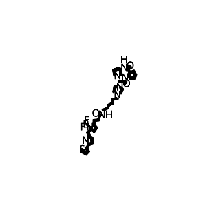 O=C(CCc1ccc(/C=C2\C=CC(c3cccs3)=N2)n1B(F)F)NCCCCCCN1CCN(CC(=O)N2c3ccccc3C(=O)Nc3cccnc32)CC1